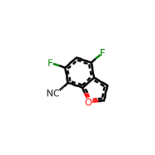 N#Cc1c(F)cc(F)c2ccoc12